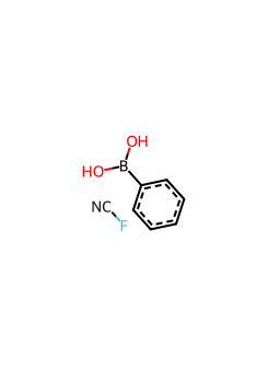 N#CF.OB(O)c1ccccc1